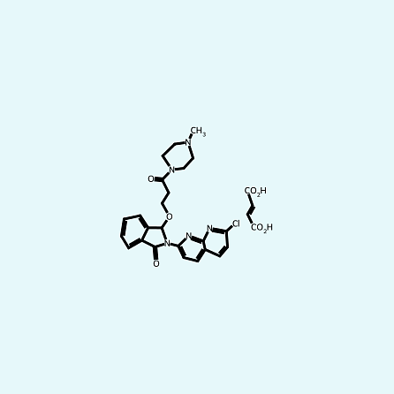 CN1CCN(C(=O)CCOC2c3ccccc3C(=O)N2c2ccc3ccc(Cl)nc3n2)CC1.O=C(O)C=CC(=O)O